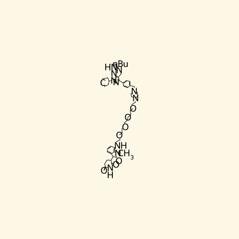 CCCCNc1ncc2c(-c3ccc(CN4CCN(CCOCCOCCOCCOCCNc5cccc6c5N(C)C(=O)C6C5CCC(=O)NC5=O)CC4)cc3)nn(C3CCCCC3)c2n1